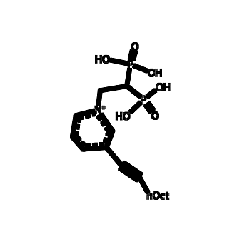 CCCCCCCCC#Cc1ccc[n+](CC(P(=O)(O)O)P(=O)(O)O)c1